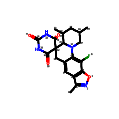 Cc1noc2c(F)c3c(cc12)CC1(C(=O)NC(=O)NC1=O)C1C(C)CC(C)CN31